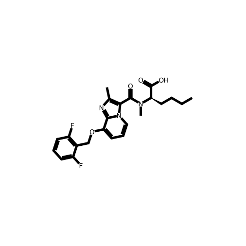 CCCC[C@H](C(=O)O)N(C)C(=O)c1c(C)nc2c(OCc3c(F)cccc3F)cccn12